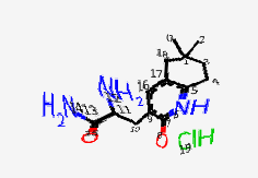 CC1(C)CCc2[nH]c(=O)c(CC(N)C(N)=O)cc2C1.Cl